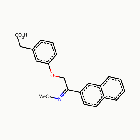 CO/N=C(\COc1cccc(CC(=O)O)c1)c1ccc2ccccc2c1